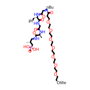 CCCCN(CC(=O)N[C@@H](CC(C)C)C(=O)NCC(=O)N[C@@H](C)C(=O)NC[C@@H](C)CP(=O)(O)O)C(=O)CCOCCOCCOCCOCCOCCOCCOCCOC